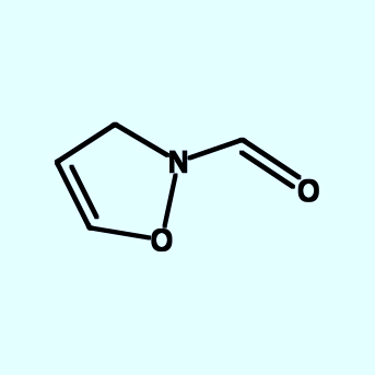 O=CN1CC=CO1